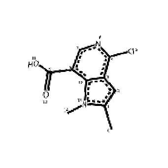 Cc1cc2c(Cl)ncc(C(=O)O)c2n1C